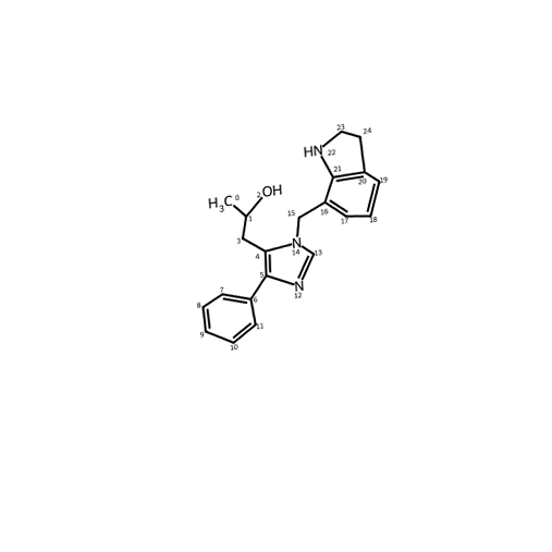 CC(O)Cc1c(-c2ccccc2)ncn1Cc1cccc2c1NCC2